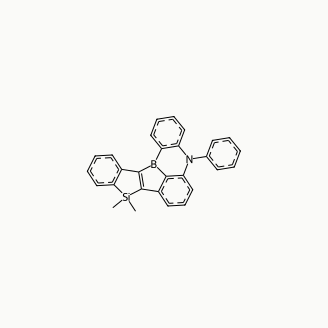 C[Si]1(C)C2=C(B3c4ccccc4N(c4ccccc4)c4cccc2c43)c2ccccc21